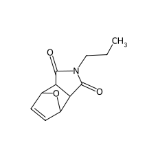 CCCN1C(=O)C2C3C=CC(O3)C2C1=O